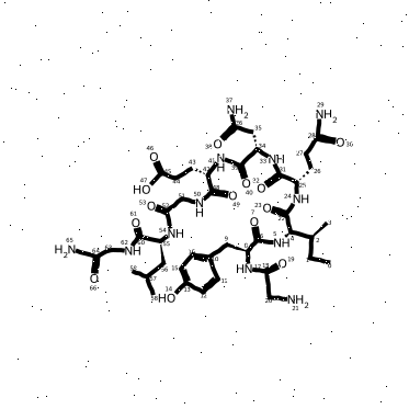 CC[C@H](C)[C@H](NC(=O)[C@H](Cc1ccc(O)cc1)NC(=O)CN)C(=O)N[C@@H](CCC(N)=O)C(=O)N[C@@H](CC(N)=O)C(=O)N[C@@H](CCC(=O)O)C(=O)NCC(=O)N[C@@H](CC(C)C)C(=O)NCC(N)=O